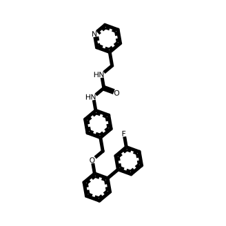 O=C(NCc1cccnc1)Nc1ccc(COc2ccccc2-c2cccc(F)c2)cc1